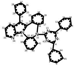 c1ccc(-c2nc(-c3ccccc3)nc(N3c4ccccc4-c4c(-c5ccccc5)c5cccnc5n4-c4ccccc43)n2)cc1